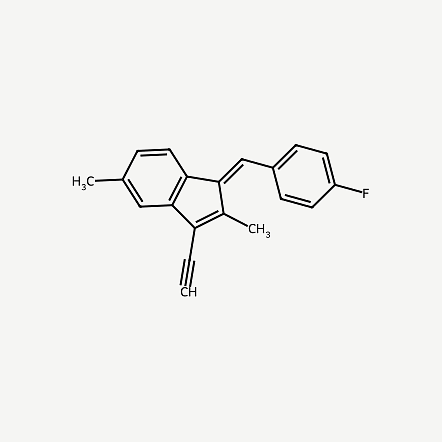 C#CC1=C(C)C(=Cc2ccc(F)cc2)c2ccc(C)cc21